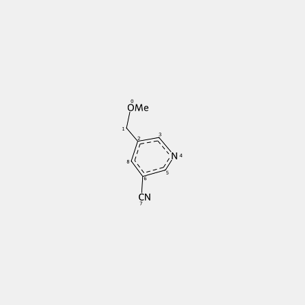 COCc1cncc(C#N)c1